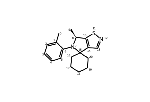 Cc1ccccc1N1[C@@H](C)c2sncc2C12CCCCC2